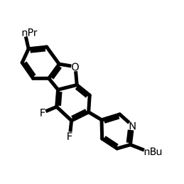 CCCCc1ccc(-c2cc3oc4cc(CCC)ccc4c3c(F)c2F)cn1